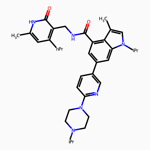 CCCc1cc(C)[nH]c(=O)c1CNC(=O)c1cc(-c2ccc(N3CCN(C(C)C)CC3)nc2)cc2c1c(C)cn2C(C)C